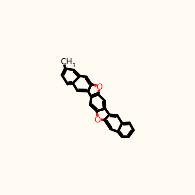 Cc1ccc2cc3c(cc2c1)oc1cc2c(cc13)oc1cc3ccccc3cc12